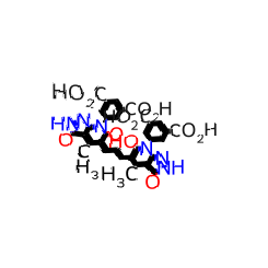 Cc1c(C=CC=c2c(C)c3c(n(-c4cc(C(=O)O)cc(C(=O)O)c4)c2=O)=NNC3=O)c(O)n(-c2cc(C(=O)O)cc(C(=O)O)c2)c2n[nH]c(=O)c1-2